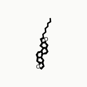 CCCCCCCc1cc2cc3c(ccc4c5cc6ccoc6cc5ccc34)cc2o1